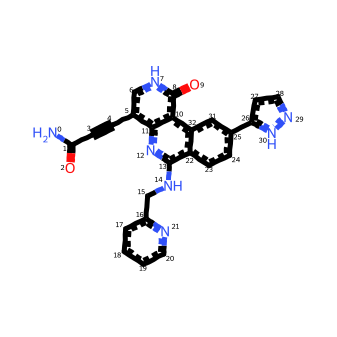 NC(=O)C#Cc1c[nH]c(=O)c2c1nc(NCc1ccccn1)c1ccc(-c3ccn[nH]3)cc12